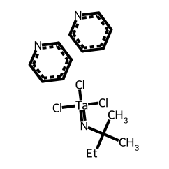 CCC(C)(C)[N]=[Ta]([Cl])([Cl])[Cl].c1ccncc1.c1ccncc1